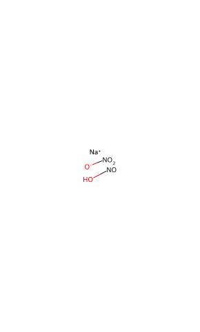 O=NO.O=[N+]([O-])[O-].[Na+]